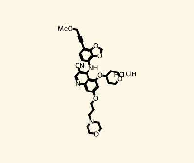 COCC#Cc1ccc(Nc2c(C#N)cnc3cc(OCCCN4CCOCC4)cc(OC4CCOCC4)c23)c2c1OCO2.Cl.Cl